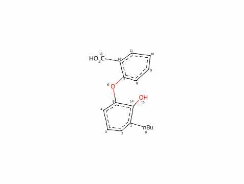 CCCCc1cccc(Oc2ccccc2C(=O)O)c1O